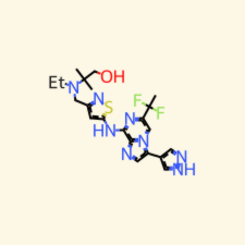 CCN(Cc1cc(Nc2nc(C(C)(F)F)cn3c(-c4cn[nH]c4)cnc23)sn1)C(C)(C)CO